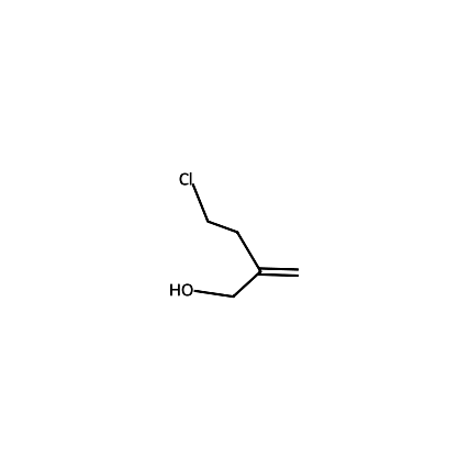 C=C(CO)CCCl